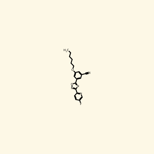 CCCCCCOc1cc(C#N)cc(-c2nc(-c3ccc(F)cn3)no2)c1